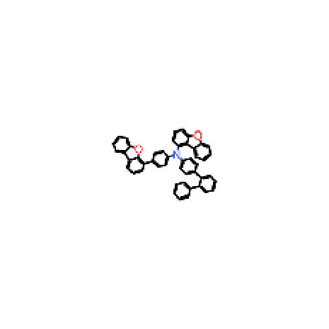 c1ccc(-c2ccccc2-c2ccc(N(c3ccc(-c4cccc5c4oc4ccccc45)cc3)c3cccc4oc5ccccc5c34)cc2)cc1